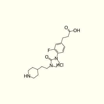 Cl.O=C(O)CCc1ccc(N2CCN(CCC3CCNCC3)C2=O)c(F)c1